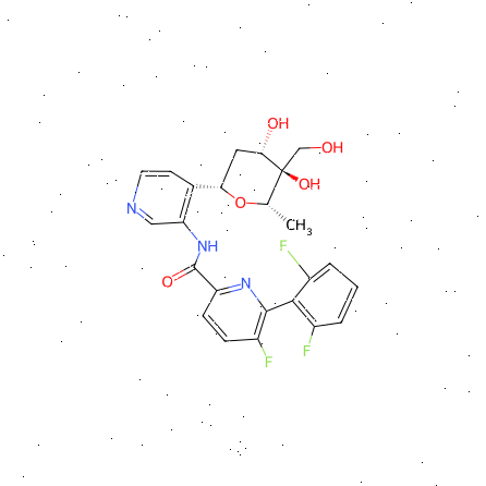 C[C@@H]1O[C@H](c2ccncc2NC(=O)c2ccc(F)c(-c3c(F)cccc3F)n2)C[C@H](O)[C@]1(O)CO